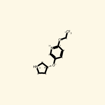 FC(F)(F)COc1ccc(O[C@@H]2CCNC2)cn1